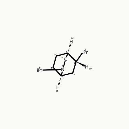 CC(C)[C@@H]1C[C@H]2CC[C@@H]1CN2C(C)C